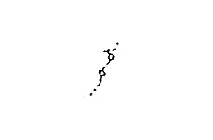 CC(C)(C)OC(=O)NCC#Cc1ccc(C(=O)NCCc2ccc3c(c2)c(C(N)=S)cn3C(=O)OC(C)(C)C)cc1